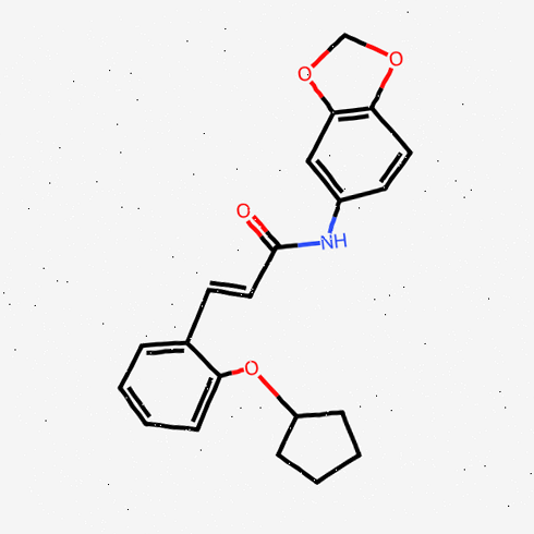 O=C(C=Cc1ccccc1OC1CCCC1)Nc1ccc2c(c1)OCO2